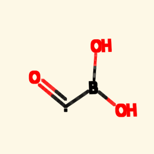 O=[C]B(O)O